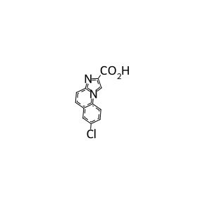 O=C(O)c1cn2c(ccc3cc(Cl)ccc32)n1